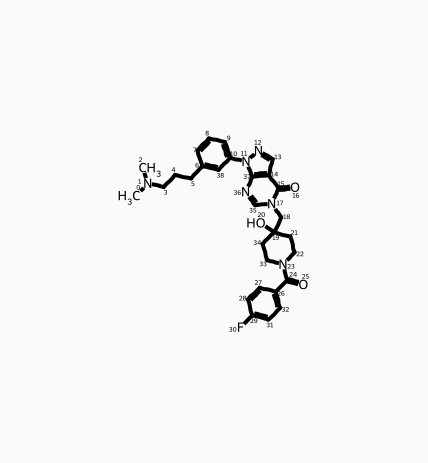 CN(C)CCCc1cccc(-n2ncc3c(=O)n(CC4(O)CCN(C(=O)c5ccc(F)cc5)CC4)cnc32)c1